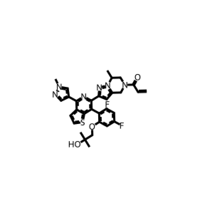 C=CC(=O)N1Cc2cc(-c3nc(-c4cnn(C)c4)c4ccsc4c3-c3c(F)cc(F)cc3OCC(C)(C)O)nn2C(C)C1